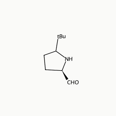 CC(C)(C)C1CC[C@H](C=O)N1